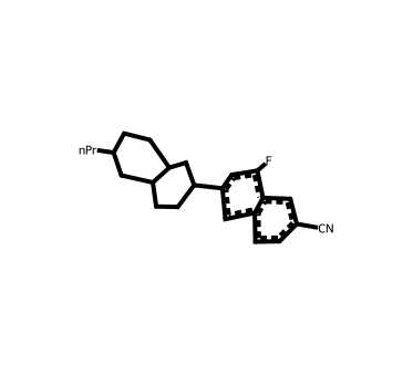 CCCC1CCC2CC(c3cc(F)c4cc(C#N)ccc4c3)CCC2C1